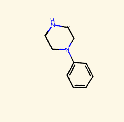 [CH]1CN(c2ccccc2)CCN1